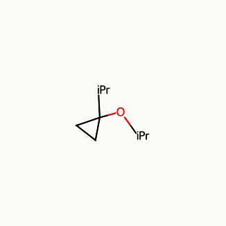 CC(C)OC1(C(C)C)CC1